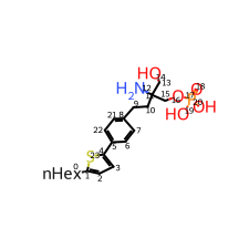 CCCCCCc1ccc(-c2ccc(CCC(N)(CO)COP(=O)(O)O)cc2)s1